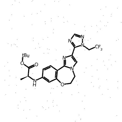 C[C@H](Nc1ccc2c(c1)OCCn1cc(-c3ncnn3CC(F)(F)F)nc1-2)C(=O)OC(C)(C)C